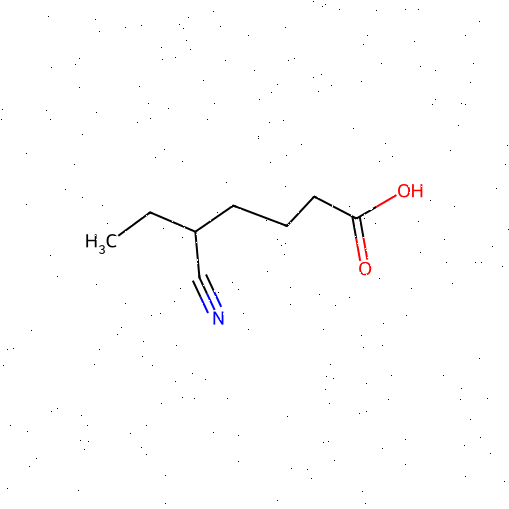 CCC(C#N)CCCC(=O)O